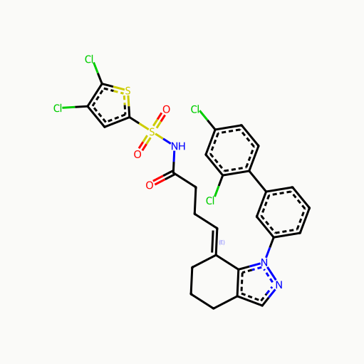 O=C(CC/C=C1\CCCc2cnn(-c3cccc(-c4ccc(Cl)cc4Cl)c3)c21)NS(=O)(=O)c1cc(Cl)c(Cl)s1